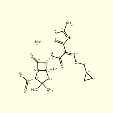 CC1(C)S[C@@H]2[C@@H](NC(=O)/C(=N\OCC3CC3)c3csc(N)n3)C(=O)N2[C@H]1C(=O)[O-].[Na+]